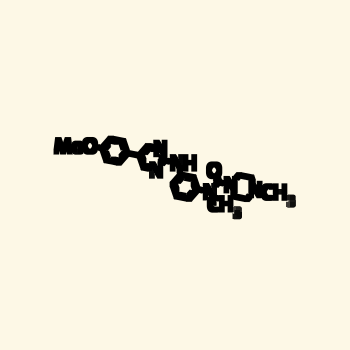 COc1ccc(-c2cnc(Nc3cccc(N(C)C(=O)N4CCN(C)CC4)c3)nc2)cc1